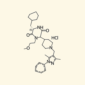 COCCN1C(=O)[C@H](CC2CCCCC2)NC(=O)C1C1CCN(Cc2c(C)nn(-c3ccccc3)c2C)CC1.Cl